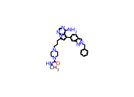 CNC(=O)N1CCN(CCCc2cc(-c3ccc4cn(Cc5ccccc5)nc4c3)c3c(N)ncnn23)CC1